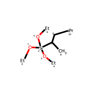 CCO[Si](OCC)(OCC)C(C)[CH]C(C)C